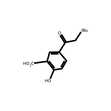 CC(C)(C)CC(=O)c1ccc(O)c(C(=O)O)c1